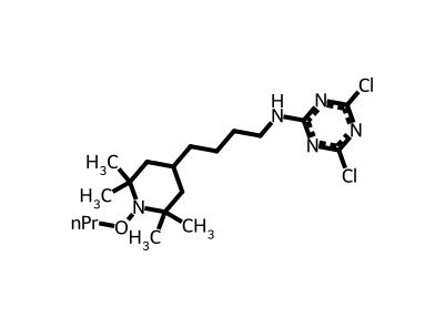 CCCON1C(C)(C)CC(CCCCNc2nc(Cl)nc(Cl)n2)CC1(C)C